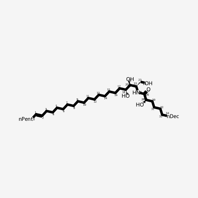 CCCCC/C=C/CCCCCCCCCCCCCCC[C@@H](O)[C@@H](O)[C@H](CO)NC(=O)[C@H](O)CCCCCCCCCCCCCC